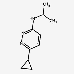 CC(C)Nc1ccc(C2CC2)nn1